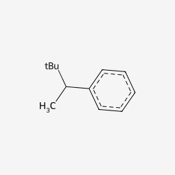 CC(c1ccccc1)C(C)(C)C